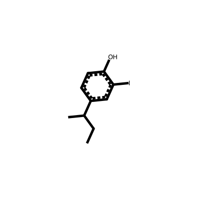 CCC(C)c1ccc(O)c(I)c1